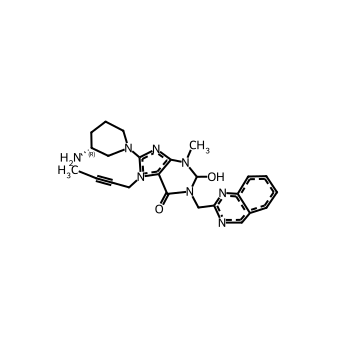 CC#CCn1c(N2CCC[C@@H](N)C2)nc2c1C(=O)N(Cc1ncc3ccccc3n1)C(O)N2C